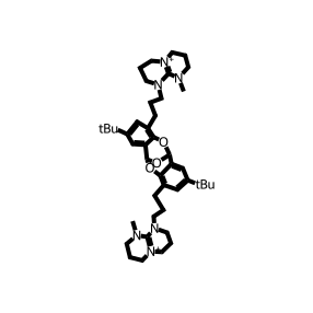 CN1CCC[N+]2=C1N(CCCc1cc(C(C)(C)C)cc3c1OC1OC3Oc3c(CCCN4CCC[N+]5=C4N(C)CCC5)cc(C(C)(C)C)cc31)CCC2